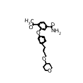 CC(=O)c1ccc(C(N)=O)cc1Oc1ccc(CCCOC2CCOCC2)cc1